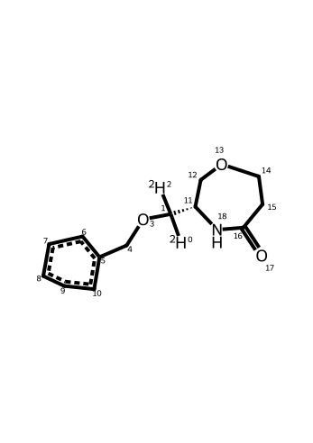 [2H]C([2H])(OCc1ccccc1)[C@@H]1COCCC(=O)N1